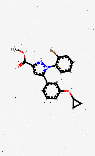 COC(=O)c1cc(-c2cccc(OC3CC3)c2)n(-c2ccccc2Br)n1